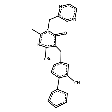 CCCCc1nc(C)n(Cc2cnccn2)c(=O)c1Cc1ccc(-c2ccccc2)c(C#N)c1